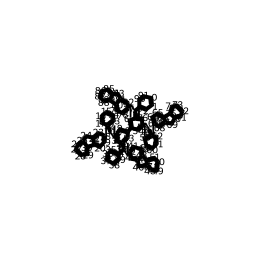 c1ccc(N(c2cc(-c3cc(N(c4ccccc4)c4ccc5c(c4)Cc4ccccc4-5)cc(N(c4ccccc4)c4ccc5c(c4)Cc4ccccc4-5)c3)cc(N(c3ccccc3)c3ccc4c(c3)Cc3ccccc3-4)c2)c2ccc3c(c2)Cc2ccccc2-3)cc1